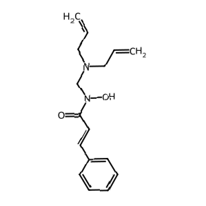 C=CCN(CC=C)CN(O)C(=O)C=Cc1ccccc1